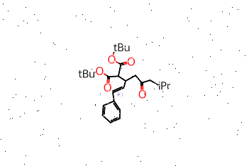 CC(C)CC(=O)CC(/C=C/c1ccccc1)C(C(=O)OC(C)(C)C)C(=O)OC(C)(C)C